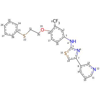 FC(F)(F)c1cc(Nc2nc(-c3cccnc3)cs2)ccc1OCCSc1ccccc1